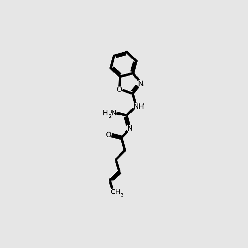 C/C=C/CCC(=O)/N=C(\N)Nc1nc2ccccc2o1